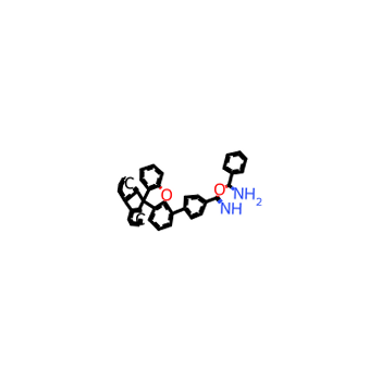 N=C(OC(N)c1ccccc1)c1ccc(-c2cccc3c2Oc2ccccc2C32c3ccccc3-c3ccccc32)cc1